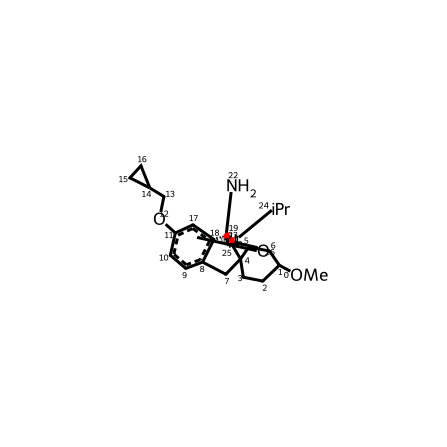 COC1CCC2(CC1)Cc1ccc(OCC3CC3)cc1[C@]21N=C(N)N(C(C)C)C1=O